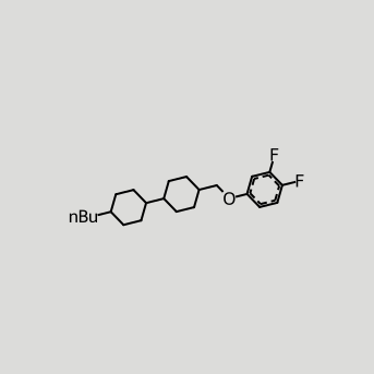 CCCCC1CCC(C2CCC(COc3ccc(F)c(F)c3)CC2)CC1